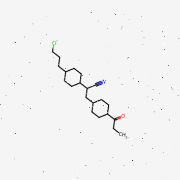 CCC(=O)C1CCC(CC(C#N)C2CCC(CCCCl)CC2)CC1